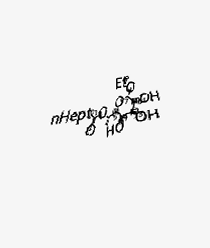 CCCCCCCC(=O)OC[C@H]1OC(OCC)[C@H](O)[C@@H](O)[C@H]1O